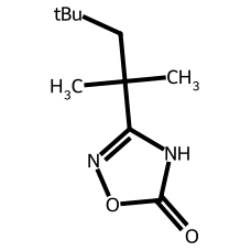 CC(C)(C)CC(C)(C)c1noc(=O)[nH]1